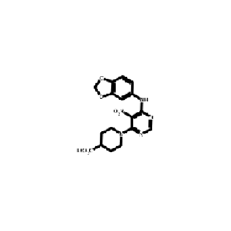 CCOC(=O)C1CCN(c2ncnc(Nc3ccc4c(c3)OCO4)c2[N+](=O)[O-])CC1